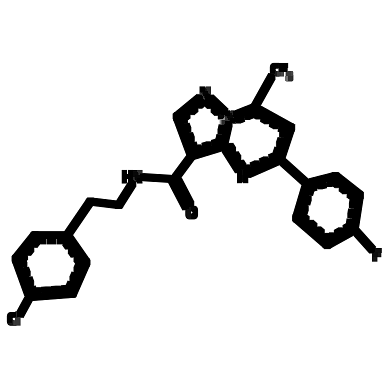 O=C(NCCc1ccc(Cl)cc1)c1cnn2c(C(F)(F)F)cc(-c3ccc(F)cc3)nc12